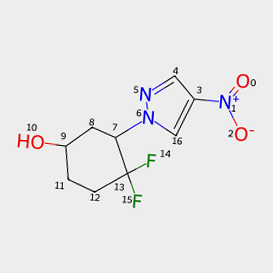 O=[N+]([O-])c1cnn(C2CC(O)CCC2(F)F)c1